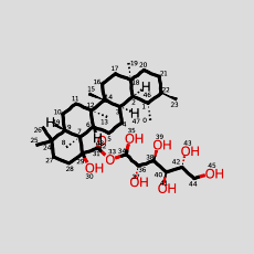 C[C@@H]1[C@H]2[C@H]3CC[C@@H]4[C@]5(C)[C@@H](CC[C@@]4(C)[C@]3(C)CC[C@@]2(C)CC[C@H]1C)C(C)(C)CCC5(O)C(=O)OC(O)[C@@H](O)[C@@H](O)[C@H](O)[C@H](O)CO